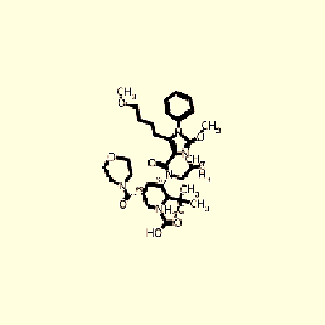 COCCCCc1c(C(=O)N(CC(C)C)[C@H]2C[C@@H](C(=O)N3CCOCC3)CN(C(=O)O)C2C(C)(C)C)nc(OC)n1-c1ccccc1